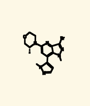 C[C@@H]1COCCN1c1cc(-c2ccnn2C)c2c(n1)c(Br)nn2C